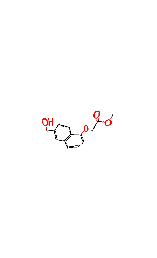 COC(=O)COc1cccc2c1CCC(CO)=C2